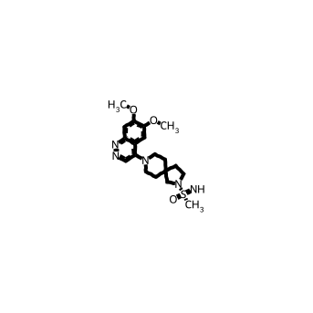 COc1cc2nncc(N3CCC4(CC3)CCN(S(C)(=N)=O)C4)c2cc1OC